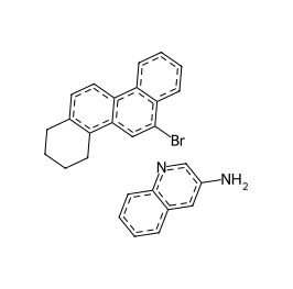 Brc1cc2c3c(ccc2c2ccccc12)CCCC3.Nc1cnc2ccccc2c1